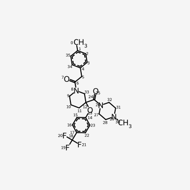 Cc1ccc(CC(=O)N2CCCC(Oc3ccc(C(F)(F)F)cc3)(C(=O)N3CCN(C)CC3)C2)cc1